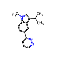 CC(C)c1cn(C)c2ccc(-c3cccnn3)cc12